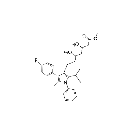 COC(=O)CC(O)CC(O)CCc1c(-c2ccc(F)cc2)c(C)n(-c2ccccc2)c1C(C)C